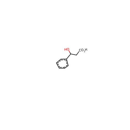 O=C(O)CC(O)c1ccccc1